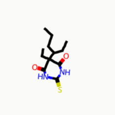 CCCC(CC)C1(CC)C(=O)NC(=S)NC1=O